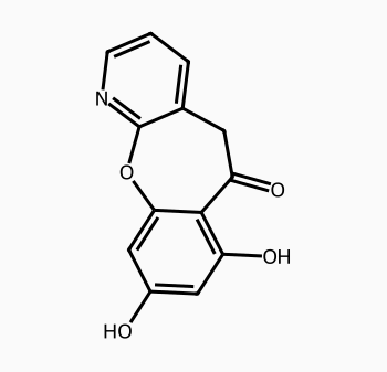 O=C1Cc2cccnc2Oc2cc(O)cc(O)c21